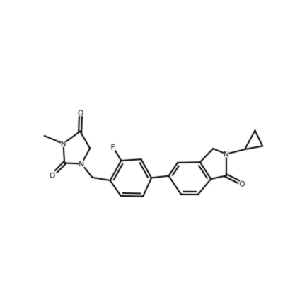 CN1C(=O)CN(Cc2ccc(-c3ccc4c(c3)CN(C3CC3)C4=O)cc2F)C1=O